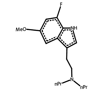 CCCN(CCC)CCc1c[nH]c2c(F)cc(OC)cc12